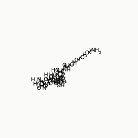 NCCOCCOCCOCCOCCC(=O)NCC1OC(OP(=O)(O)OP(=O)(O)OCC2OC(n3cnc4c(=O)[nH]c(N)cc43)C(O)C2O)C(O)C(O)C1O